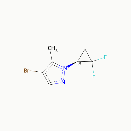 Cc1c(Br)cnn1[C@H]1CC1(F)F